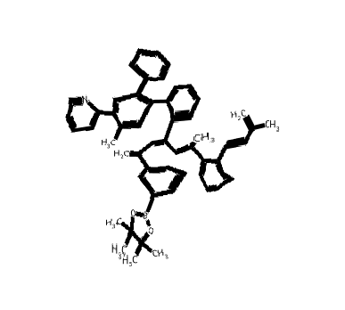 C=C(C)/C=C/c1ccccc1/C(C)=C/C(=C\C(=C)c1cccc(B2OC(C)(C)C(C)(C)O2)c1)c1ccccc1-c1cc(C)c(-c2ccccn2)cc1-c1ccccc1